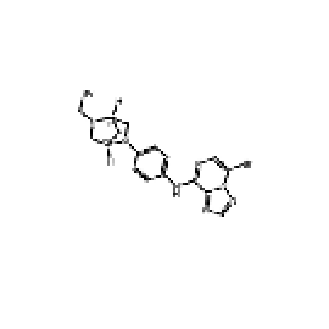 CC(C)CN1C[C@@H]2C[C@H]1CN2c1ccc(Nc2ncc(Br)n3ncnc23)cc1